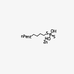 CCCCCCCCCSP(O)(O)=S.[Zn]